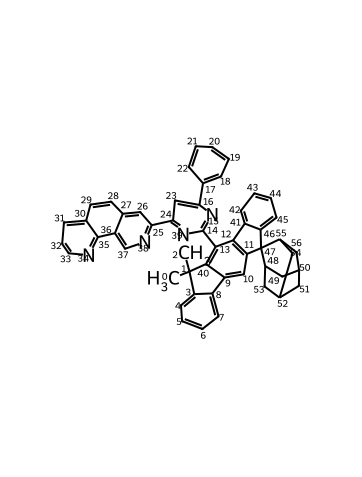 CC1(C)c2ccccc2-c2cc3c(c(-c4nc(-c5ccccc5)cc(-c5cc6ccc7cccnc7c6cn5)n4)c21)-c1ccccc1C31C2CC3CC(C2)CC1C3